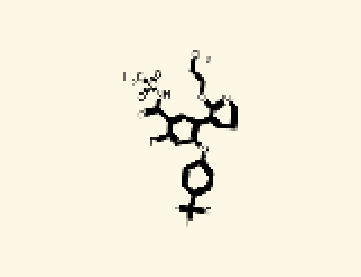 CCCOc1ncccc1-c1cc(C(=O)NS(C)(=O)=O)c(F)cc1Oc1ccc(C(F)(F)F)cc1